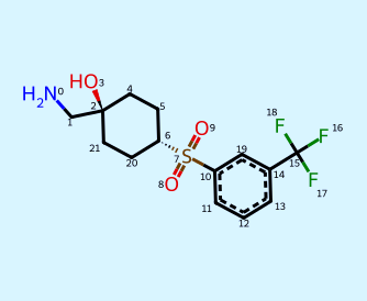 NC[C@]1(O)CC[C@H](S(=O)(=O)c2cccc(C(F)(F)F)c2)CC1